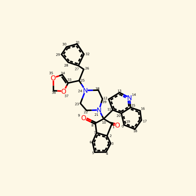 O=C1c2ccccc2C(=O)C1(c1ccnc2ccccc12)N1CCN(C(Cc2ccccc2)C2=COCO2)CC1